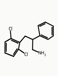 NCC(Cc1c(Cl)cccc1Cl)c1ccccc1